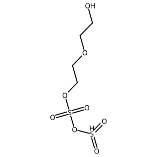 O=[SH](=O)OS(=O)(=O)OCCOCCO